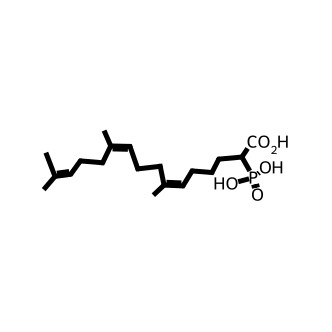 CC(C)=CCCC(C)=CCCC(C)=CCCCC(C(=O)O)P(=O)(O)O